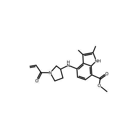 C=CC(=O)N1CCC(Nc2ccc(C(=O)OC)c3[nH]c(C)c(C)c23)C1